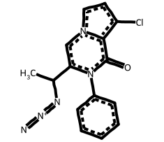 CC(N=[N+]=[N-])c1cn2ccc(Cl)c2c(=O)n1-c1ccccc1